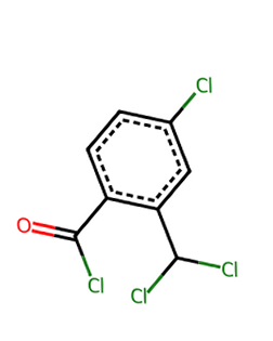 O=C(Cl)c1ccc(Cl)cc1C(Cl)Cl